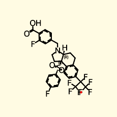 O=C(O)c1ccc(CN2CC[C@@]3(S(=O)(=O)c4ccc(F)cc4)c4ccc(C(F)(C(F)(F)F)C(F)(F)F)cc4CC[C@@H]23)cc1F